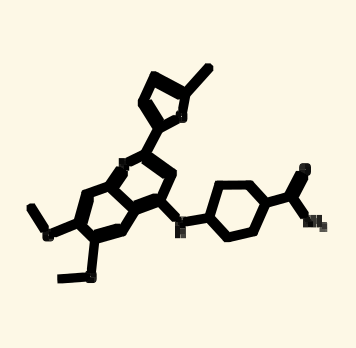 COc1cc2nc(-c3ccc(C)o3)cc(NC3CCC(C(N)=O)CC3)c2cc1OC